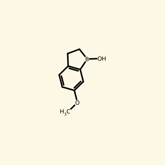 COc1ccc2c(c1)B(O)CC2